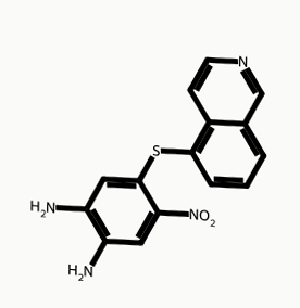 Nc1cc(Sc2cccc3cnccc23)c([N+](=O)[O-])cc1N